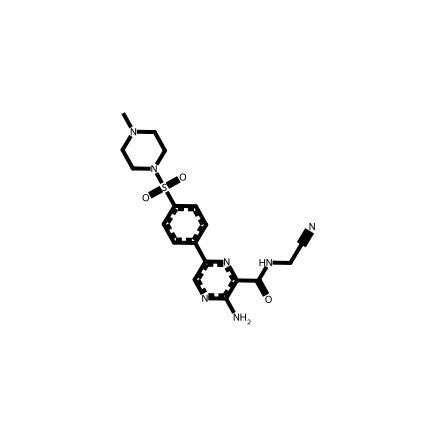 CN1CCN(S(=O)(=O)c2ccc(-c3cnc(N)c(C(=O)NCC#N)n3)cc2)CC1